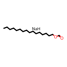 CCCCCCCCCCCCCCCCOC=O.[NaH]